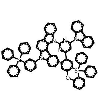 c1ccc([Si](c2ccccc2)(c2ccccc2)c2cccc(-n3c4ccccc4c4c3ccc3c5ccccc5n(-c5nc(-c6ccc7c(c6)[Si](c6ccccc6)(c6ccccc6)c6ccccc6O7)cc(-n6c7ccccc7c7ccccc76)n5)c34)c2)cc1